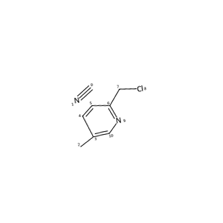 C#N.Cc1ccc(CCl)nc1